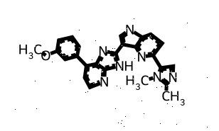 COc1cccc(-c2ccnc3[nH]c(C4=C=Nc5ccc(-c6cnc(C)n6C)nc54)nc23)c1